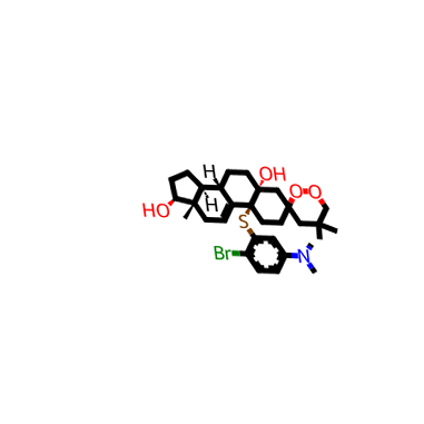 CN(C)c1ccc(Br)c(S[C@]23CCC4(CC(C)(C)COO4)C[C@]2(O)CC[C@@H]2C3=CC[C@]3(C)[C@@H](O)CC[C@@H]23)c1